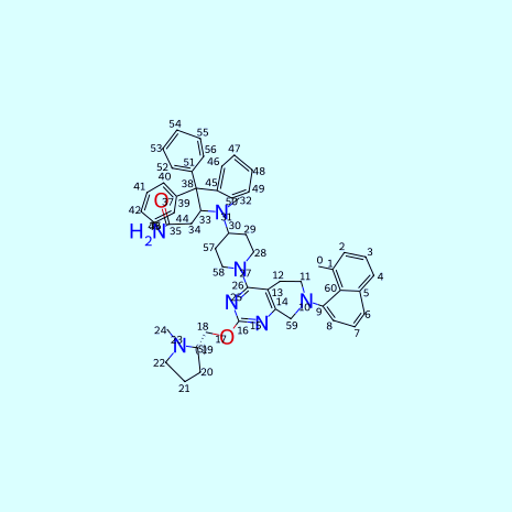 Cc1cccc2cccc(N3CCc4c(nc(OC[C@@H]5CCCN5C)nc4N4CCC(N(C)C(CC(N)=O)C(c5ccccc5)(c5ccccc5)c5ccccc5)CC4)C3)c12